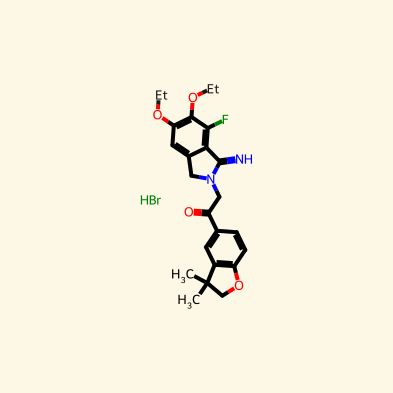 Br.CCOc1cc2c(c(F)c1OCC)C(=N)N(CC(=O)c1ccc3c(c1)C(C)(C)CO3)C2